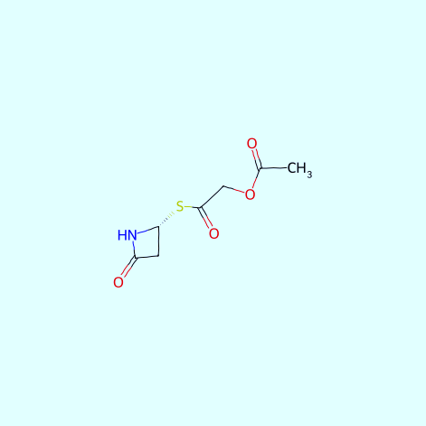 CC(=O)OCC(=O)S[C@@H]1CC(=O)N1